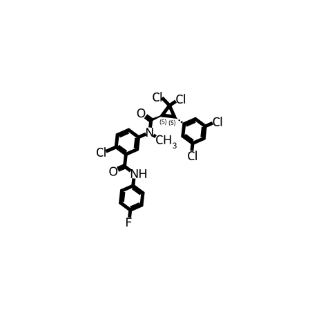 CN(C(=O)[C@@H]1[C@@H](c2cc(Cl)cc(Cl)c2)C1(Cl)Cl)c1ccc(Cl)c(C(=O)Nc2ccc(F)cc2)c1